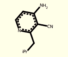 CC(C)Cc1nccc(N)c1C#N